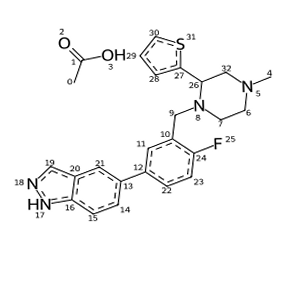 CC(=O)O.CN1CCN(Cc2cc(-c3ccc4[nH]ncc4c3)ccc2F)C(c2cccs2)C1